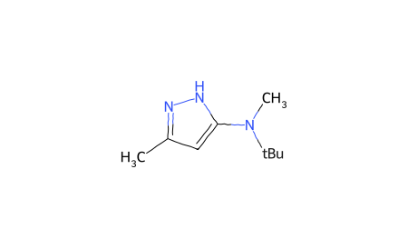 Cc1cc(N(C)C(C)(C)C)[nH]n1